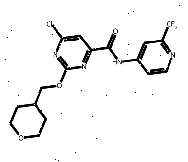 O=C(Nc1ccnc(C(F)(F)F)c1)c1cc(Cl)nc(OCC2CCOCC2)n1